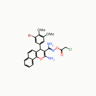 COc1cc(C2C(/C(N)=N/OC(=O)CCl)=C(N)Oc3c2ccc2ccccc32)cc(Br)c1OC